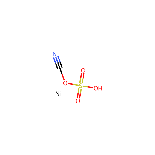 N#COS(=O)(=O)O.[Ni]